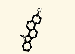 Cn1c2ccccc2c2ccc3c4ccc(Cl)cc4ccc3c21